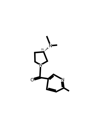 Cc1ccc(C(=O)N2CC[C@H](N(C)C)C2)cn1